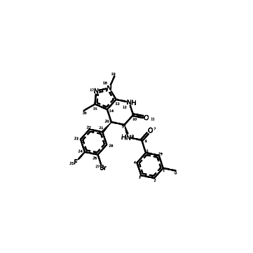 Cc1cccc(C(=O)N[C@@H]2C(=O)Nc3c(c(C)nn3C)[C@@H]2c2ccc(F)c(Br)c2)c1